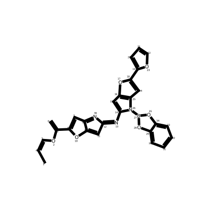 C=C(O/C=C\C)c1cc2c(o1)=C/C(=N/c1cc3oc(-c4ccco4)cc3n1B1Oc3ccccc3O1)N=2